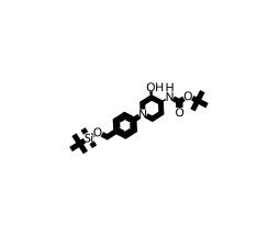 CC(C)(C)OC(=O)N[C@@H]1CCN(c2ccc(CO[Si](C)(C)C(C)(C)C)cc2)C[C@H]1O